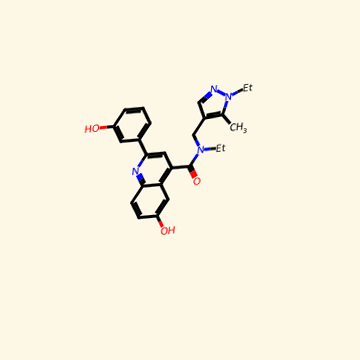 CCN(Cc1cnn(CC)c1C)C(=O)c1cc(-c2cccc(O)c2)nc2ccc(O)cc12